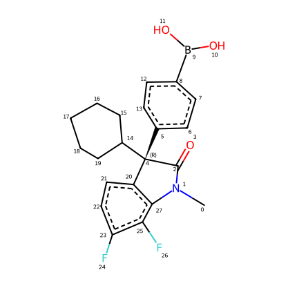 CN1C(=O)[C@@](c2ccc(B(O)O)cc2)(C2CCCCC2)c2ccc(F)c(F)c21